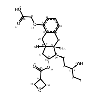 CC[C@H](O)CC[C@@H]1[C@H]2Cc3cccc(OCC(=O)O)c3C[C@H]2C[C@H]1OC(=O)C1COC1